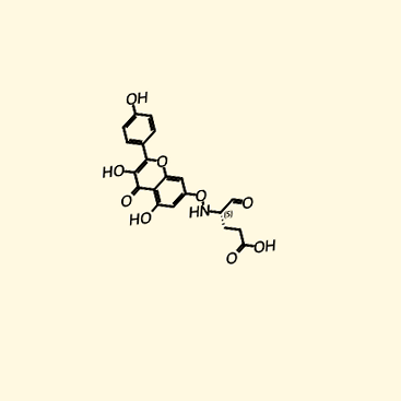 O=C[C@H](CCC(=O)O)NOc1cc(O)c2c(=O)c(O)c(-c3ccc(O)cc3)oc2c1